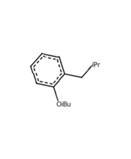 CC(C)COc1ccccc1CC(C)C